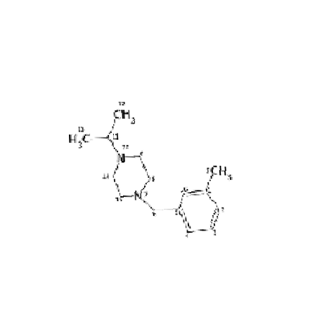 Cc1cccc(CN2CCN(C(C)C)CC2)c1